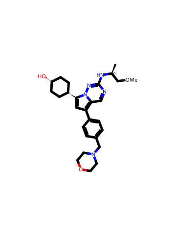 COC[C@H](C)Nc1ncc2c(-c3ccc(CN4CCOCC4)cc3)cc([C@H]3CC[C@@H](O)CC3)n2n1